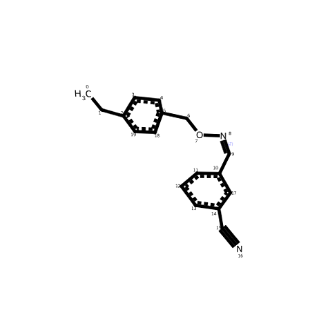 CCc1ccc(CO/N=[C]\c2cccc(C#N)c2)cc1